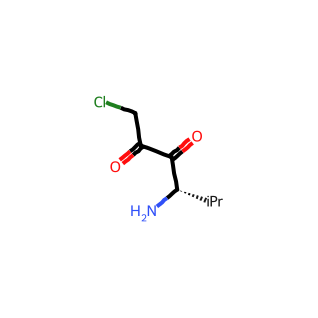 CC(C)[C@H](N)C(=O)C(=O)CCl